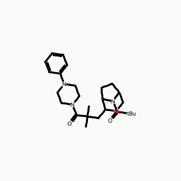 CC(C)(C)C(=O)N1C2CCC1C(CC(C)(C)C(=O)N1CCN(c3ccccc3)CC1)OC2